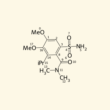 COc1cc(S(N)(=O)=O)c(C(=O)N(C)C)c(C(C)C)c1OC